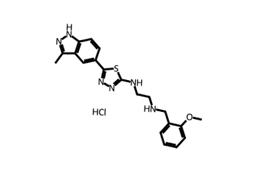 COc1ccccc1CNCCNc1nnc(-c2ccc3[nH]nc(C)c3c2)s1.Cl